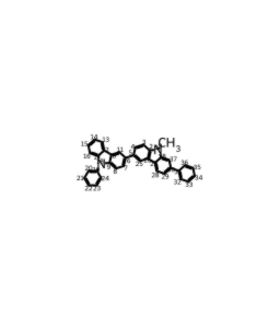 Cn1c2ccc(-c3ccc4c(c3)c3ccccc3n4-c3ccccc3)cc2c2ccc(-c3ccccc3)cc21